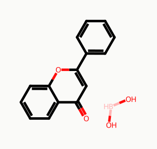 O=c1cc(-c2ccccc2)oc2ccccc12.OBO